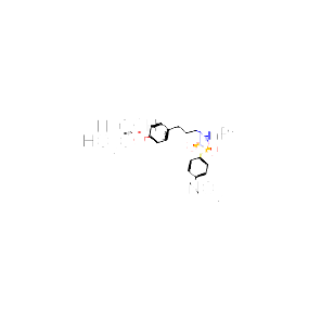 CCCN(CCCc1ccc(OC(C)(C)C(=O)O)cc1)S(=O)(=O)c1ccc([N+](=O)[O-])cc1